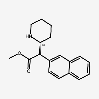 COC(=O)C(c1ccc2ccccc2c1)[C@@H]1CCCCN1